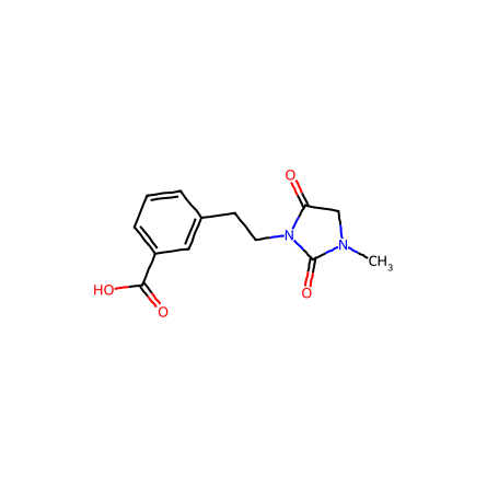 CN1CC(=O)N(CCc2cccc(C(=O)O)c2)C1=O